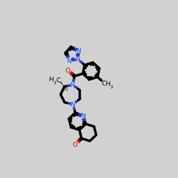 Cc1ccc(-n2nccn2)c(C(=O)N2CCN(c3ccc4c(n3)CCCC4=O)CC[C@@H]2C)c1